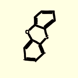 [c]1[c]cc2c([c]1)Sc1ccccc1O2